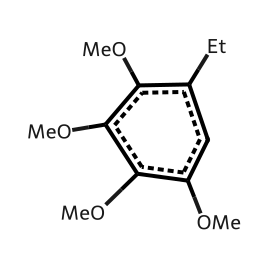 CCc1cc(OC)c(OC)c(OC)c1OC